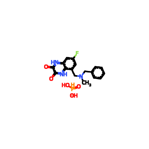 CN(Cc1ccccc1)Cc1cc(F)cc2[nH]c(=O)c(=O)[nH]c12.O=[PH](O)O